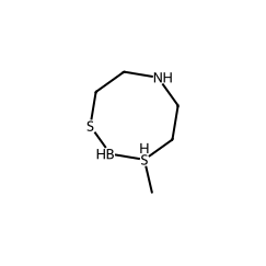 C[SH]1BSCCNCC1